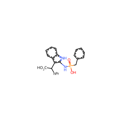 CCCC(C(=O)O)c1c(NP(=O)(O)Cc2ccccc2)[nH]c2ccccc12